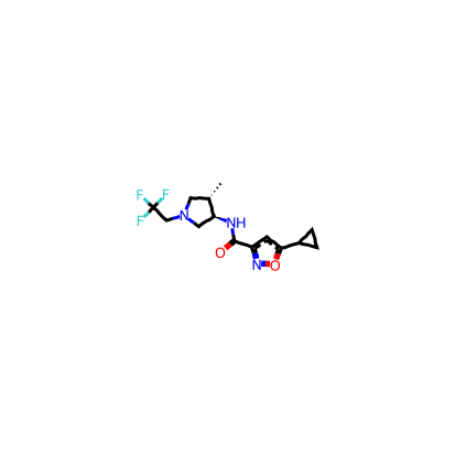 C[C@H]1CN(CC(F)(F)F)C[C@@H]1NC(=O)c1cc(C2CC2)on1